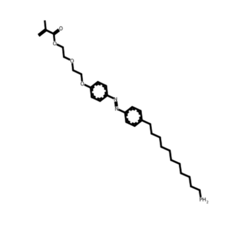 C=C(C)C(=O)OCCOCCOc1ccc(N=Nc2ccc(CCCCCCCCCCCP)cc2)cc1